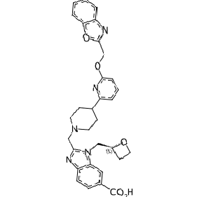 O=C(O)c1ccc2nc(CN3CCC(c4cccc(OCc5nc6ccccc6o5)n4)CC3)n(C[C@@H]3CCO3)c2c1